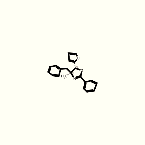 C[C@@]1(Cc2ccccc2)N=C(c2ccccc2)O[C@H]1c1ccco1